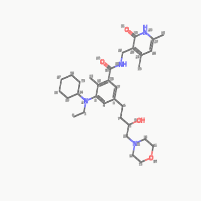 CCN(c1cc(CCC(O)CN2CCOCC2)cc(C(=O)NCc2c(C)cc(C)[nH]c2=O)c1C)C1CCCCC1